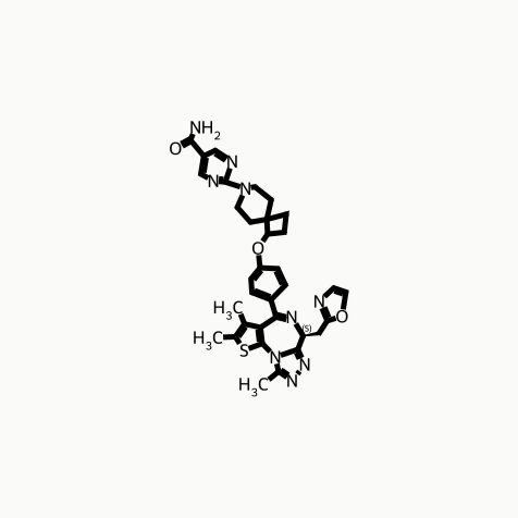 Cc1sc2c(c1C)C(c1ccc(OC3CCC34CCN(c3ncc(C(N)=O)cn3)CC4)cc1)=N[C@@H](Cc1ncco1)c1nnc(C)n1-2